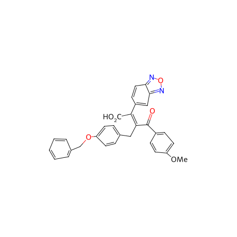 COc1ccc(C(=O)C(Cc2ccc(OCc3ccccc3)cc2)=C(C(=O)O)c2ccc3nonc3c2)cc1